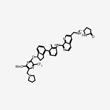 COc1nc(O[C@@H]2CCc3c(-c4cccc(Nc5nccc6cc(CNC[C@@H]7CCC(=O)N7)cnc56)c4C)cccc32)c(C(F)(F)F)nc1CN1CCCC1